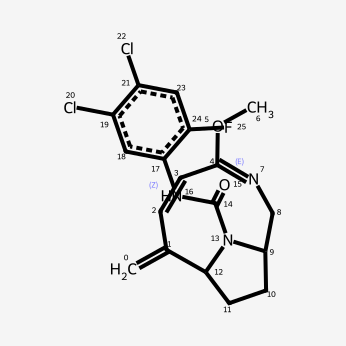 C=C1/C=C\C(OC)=N/CC2CCC1N2C(=O)Nc1cc(Cl)c(Cl)cc1F